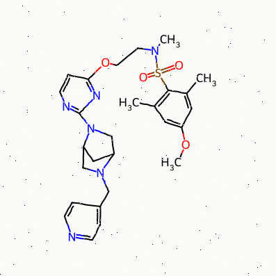 COc1cc(C)c(S(=O)(=O)N(C)CCOc2ccnc(N3CC4CC3CN4Cc3ccncc3)n2)c(C)c1